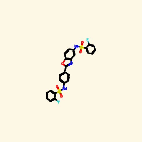 O=S(=O)(Nc1ccc(-c2nc3cc(NS(=O)(=O)c4ccccc4F)ccc3o2)cc1)c1ccccc1F